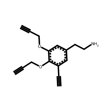 C#CCOc1cc(CCN)cc(C#C)c1OCC#C